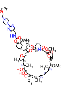 CCCOCCN1CCN(c2ncc(CNC(=O)O[C@@H]3CC[C@@H](C[C@@H](C)[C@@H]4CC(=O)[C@H](C)/C=C(\C)[C@@H](O)[C@@H](O)C(=O)[C@H](C)C[C@H](C)/C=C/C=C/C=C(\C)[C@@H](OC)C[C@@H]5CC[C@@H](C)[C@@](O)(O5)C(=O)C(=O)N5CCCC[C@H]5C(=O)O4)C[C@H]3OC)cn2)CC1